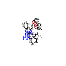 CCO[Si](CCCN(C)/C(=N\C1CCCCC1)NC1CCCCC1)(OCC)OCC